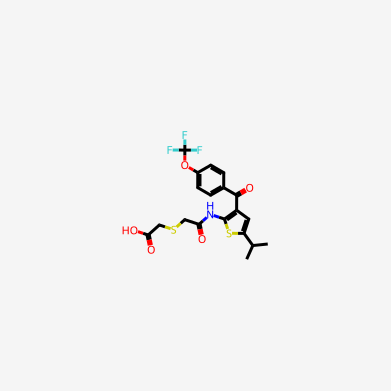 CC(C)c1cc(C(=O)c2ccc(OC(F)(F)F)cc2)c(NC(=O)CSCC(=O)O)s1